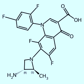 C[C@H]1[C@H](N)CN1c1c(F)cc2c(=O)c(C(=O)O)cn(-c3ccc(F)cc3F)c2c1F